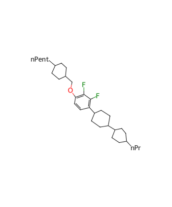 CCCCCC1CCC(COc2ccc(C3CCC(C4CCC(CCC)CC4)CC3)c(F)c2F)CC1